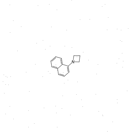 c1ccc2c(N3CCC3)cccc2c1